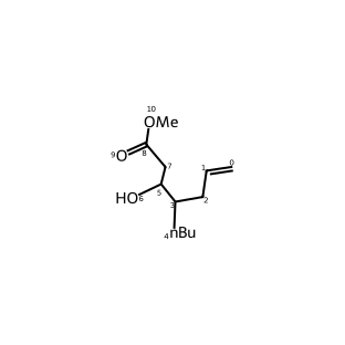 C=CCC(CCCC)C(O)CC(=O)OC